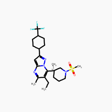 CCc1c(C)nc2cc(C3CCC(C(F)(F)F)CC3)nn2c1[C@]1(C)CCCN(S(C)(=O)=O)C1